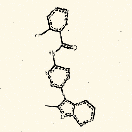 Cc1oc2ccccc2c1-c1ccc(NC(=O)c2ccccc2Cl)nc1